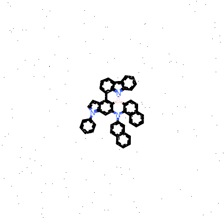 c1ccc(-n2ccc3c4c5c(cc32)N(c2ccc3ccccc3c2)c2c(ccc3ccccc23)B5n2c3ccccc3c3cccc-4c32)cc1